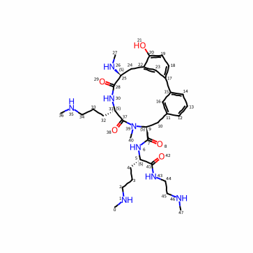 CNCCC[C@H](NC(=O)[C@@H]1Cc2cccc(c2)-c2ccc(O)c(c2)C[C@H](NC)C(=O)N[C@@H](CCCNC)C(=O)N1C)C(=O)NCCNC